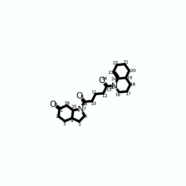 O=C1CCC2CCN(C(=O)CCCC(=O)N3CCCC4CCCC=C43)C2C1